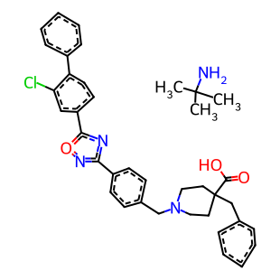 CC(C)(C)N.O=C(O)C1(Cc2ccccc2)CCN(Cc2ccc(-c3noc(-c4ccc(-c5ccccc5)c(Cl)c4)n3)cc2)CC1